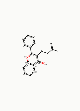 C=C(C)CCc1c(-c2ccccc2)oc2ccccc2c1=O